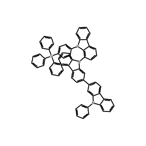 c1ccc(-n2c3ccccc3c3ccc(-c4ccc5c6ccccc6n(-c6cccc7c8ccccc8n(-c8ccc([Si](c9ccccc9)(c9ccccc9)c9ccccc9)cc8)c67)c5c4)cc32)cc1